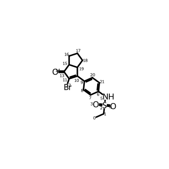 CCS(=O)(=O)Nc1ccc(C2=C(Br)C(=O)C3CCCC23)cc1